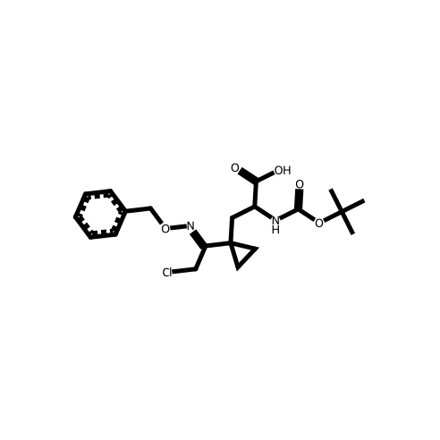 CC(C)(C)OC(=O)NC(CC1(C(CCl)=NOCc2ccccc2)CC1)C(=O)O